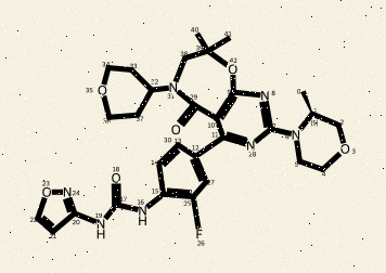 C[C@H]1COCCN1c1nc2c(c(-c3ccc(NC(=O)Nc4ccon4)c(F)c3)n1)C(=O)N(C1CCOCC1)CC(C)(C)O2